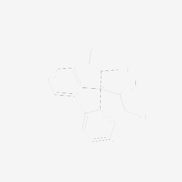 CCC(C)C1(C(C)CC)c2ccccc2-c2ccccc21